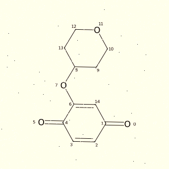 O=C1C=CC(=O)C(OC2CCOCC2)=C1